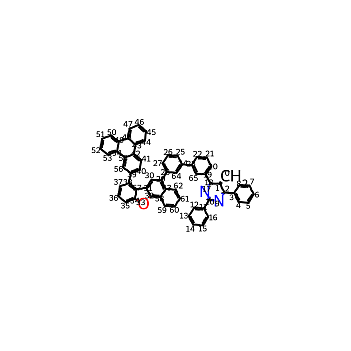 C=C1C(c2ccccc2)=NC(c2ccccc2)=NC1c1cccc(-c2cccc(-c3cc4c(oc5cccc(-c6ccc7c8ccccc8c8ccccc8c7c6)c54)c4ccccc34)c2)c1